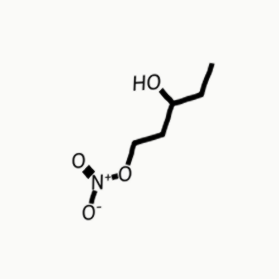 CCC(O)CCO[N+](=O)[O-]